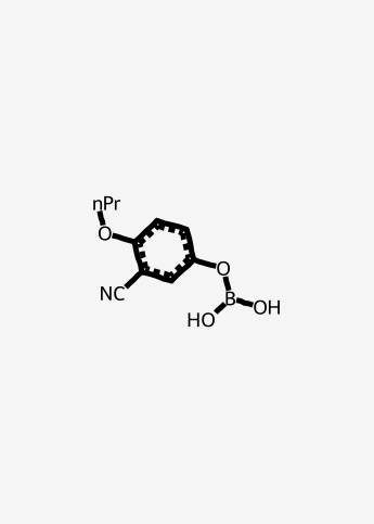 CCCOc1ccc(OB(O)O)cc1C#N